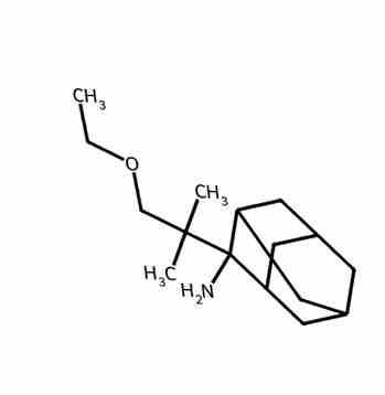 CCOCC(C)(C)C1(N)C2CC3CC(C2)CC1C3